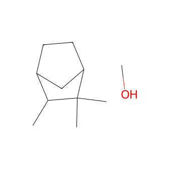 CC1C2CCC(C2)C1(C)C.CO